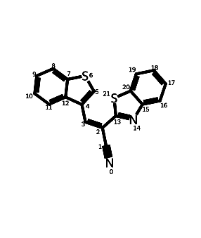 N#CC(=Cc1csc2ccccc12)c1nc2ccccc2s1